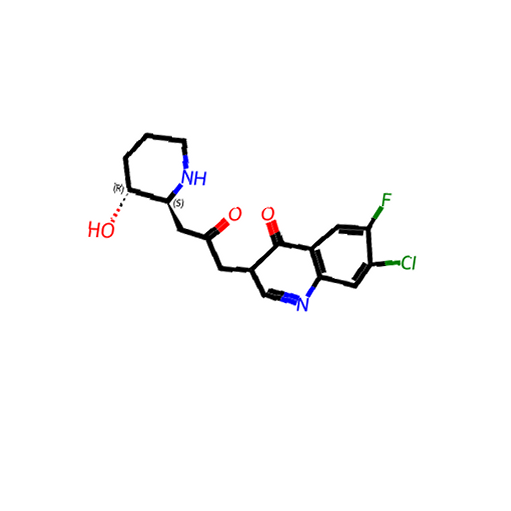 O=C(CC1C=Nc2cc(Cl)c(F)cc2C1=O)C[C@@H]1NCCC[C@H]1O